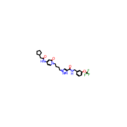 O=C(CC1CCCC1)Nc1ccn(CCCCn2cc(C(=O)NCc3cccc(OC(F)(F)F)c3)nn2)c(=O)c1